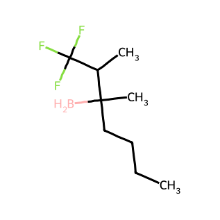 BC(C)(CCCC)C(C)C(F)(F)F